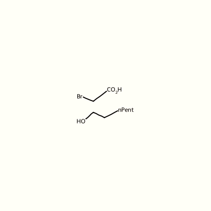 CCCCCCCO.O=C(O)CBr